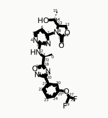 C[C@H](Nc1nccc(N2C(=O)OCC2[C@@H](C)O)n1)c1nc(-c2cccc(OC(F)F)c2)no1